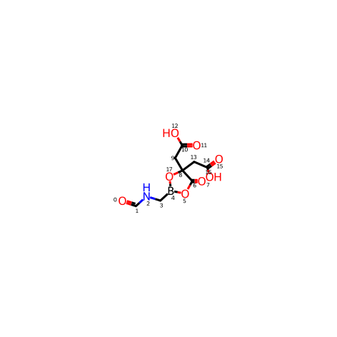 O=CNCB1OC(=O)C(CC(=O)O)(CC(=O)O)O1